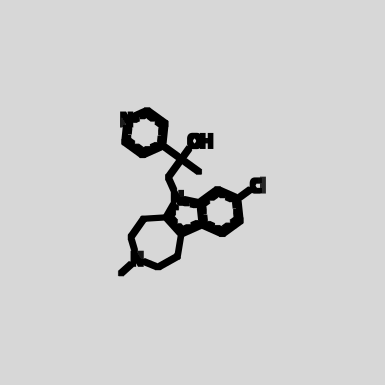 CN1CCc2c(n(CC(C)(O)c3ccncc3)c3cc(Cl)ccc23)CC1